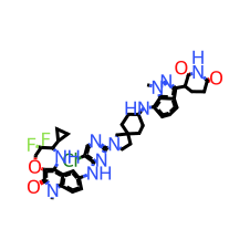 Cn1nc(C2CCC(=O)NC2=O)c2cccc(NC3CCC4(CC3)CCN(c3ncc(Cl)c(Nc5ccc6c(c5)c5c(c(=O)n6C)OCC(F)(F)C(C6CC6)N5)n3)C4)c21